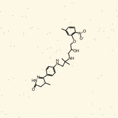 Cc1ccc([N+](=O)[O-])c(OCC(O)CNC(C)(C)CNc2ccc(C3=NNC(=O)CC3C)cc2)c1